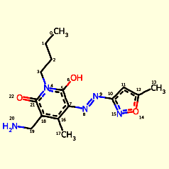 CCCCn1c(O)c(N=Nc2cc(C)on2)c(C)c(CN)c1=O